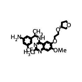 COc1cc2nc(C)nc(N[C@H](C)c3cc(N)cc(C(F)(F)F)c3)c2cc1OCCO[C@H]1CCOC1